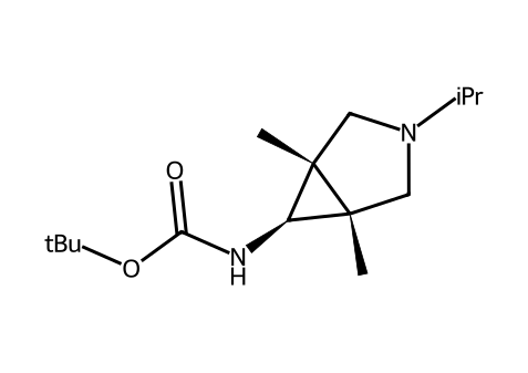 CC(C)N1C[C@@]2(C)[C@H](NC(=O)OC(C)(C)C)[C@@]2(C)C1